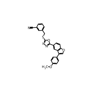 COc1ccc(-c2coc3ccc(-c4nnc(SCc5cccc(C#N)c5)o4)cc23)cc1